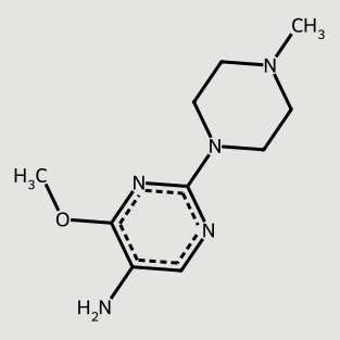 COc1nc(N2CCN(C)CC2)ncc1N